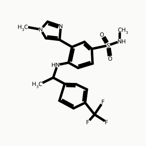 CNS(=O)(=O)c1ccc(NC(C)c2ccc(C(F)(F)F)cc2)c(-c2cn(C)cn2)c1